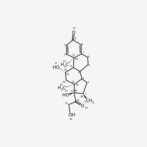 C[C@@H]1CC2C3CCC4=CC(=O)C=C[C@]4(C)C3[C@@H](O)C[C@]2(C)[C@@]1(O)C(=O)CO